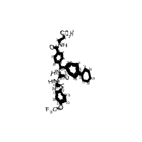 O=C(O)CCNC(=O)c1ccc(C(NC(=O)Nc2nc3cc(OC(F)(F)F)ccc3s2)c2ccc(C3CCCCC3)cc2)cc1